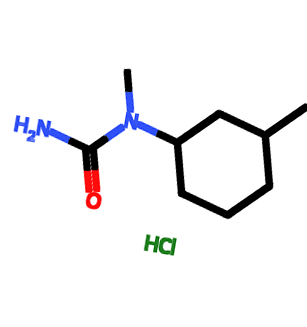 CC1CCCC(N(C)C(N)=O)C1.Cl